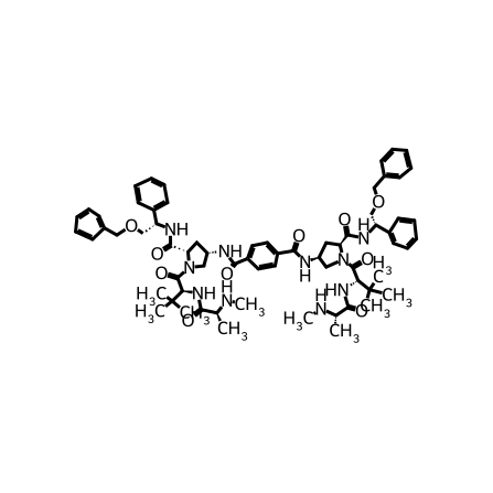 CN[C@@H](C)C(=O)N[C@H](C(=O)N1C[C@@H](NC(=O)c2ccc(C(=O)N[C@H]3C[C@@H](C(=O)N[C@H](COCc4ccccc4)c4ccccc4)N(C(=O)[C@@H](NC(=O)[C@H](C)NC)C(C)(C)C)C3)cc2)C[C@H]1C(=O)N[C@H](COCc1ccccc1)c1ccccc1)C(C)(C)C